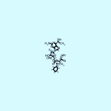 CCCN(C)c1nc(N)nc2c1ncn2[C@@H]1O[C@](CCl)(CO[P@@](=O)(N[C@@H](C)C(=O)OC(C)C)Oc2ccccc2)[C@@H](O)[C@@H]1F